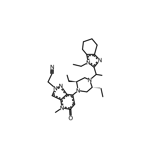 CC[C@H]1CN(C(C)c2nc3c(n2CC)CCCC3)[C@H](CC)CN1c1cc(=O)n(C)c2cn(CC#N)nc12